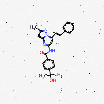 Cc1cc2nc(NC(=O)c3ccc(C(C)(C)O)cc3)cc(C=Cc3ccccc3)n2n1